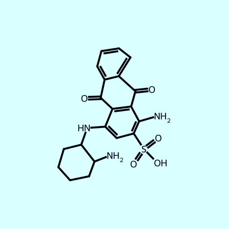 Nc1c(S(=O)(=O)O)cc(NC2CCCCC2N)c2c1C(=O)c1ccccc1C2=O